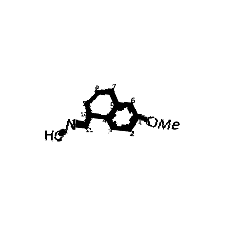 COc1ccc2c(c1)CCCC2C=NO